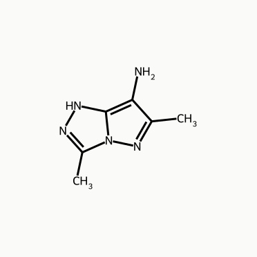 Cc1nn2c(C)n[nH]c2c1N